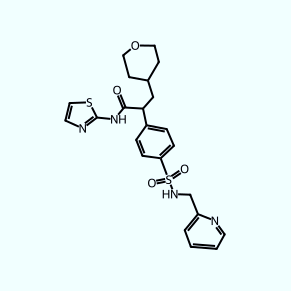 O=C(Nc1nccs1)C(CC1CCOCC1)c1ccc(S(=O)(=O)NCc2ccccn2)cc1